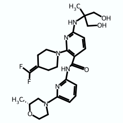 C[C@@H]1CN(c2cccc(NC(=O)c3ccc(NC(C)(CO)CO)nc3N3CCC(=C(F)F)CC3)n2)CCO1